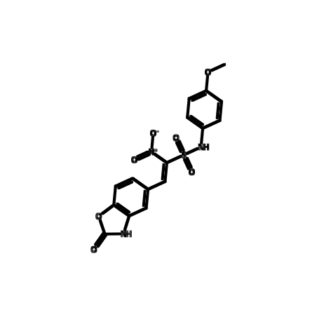 COc1ccc(NS(=O)(=O)/C(=C/c2ccc3oc(=O)[nH]c3c2)[N+](=O)[O-])cc1